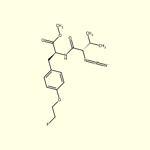 COC(=O)[C@H](Cc1ccc(OCCF)cc1)NC(=O)[C@@H](N=[N+]=[N-])C(C)C